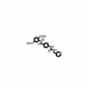 COc1ccc(OC)c([S+]([O-])Nc2ccc(NC(=O)NCc3cccnc3)cc2)c1